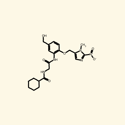 Cn1c(COc2ccc(CO)cc2NC(=O)CNC(=O)C2CCCCC2)cnc1[N+](=O)[O-]